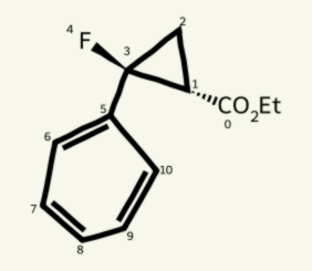 CCOC(=O)[C@H]1C[C@@]1(F)c1ccccc1